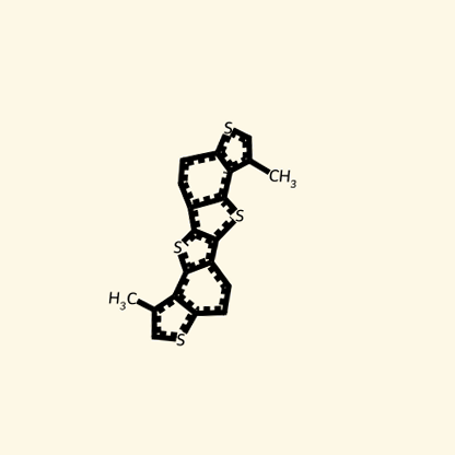 Cc1csc2ccc3c4sc5c(ccc6scc(C)c65)c4sc3c12